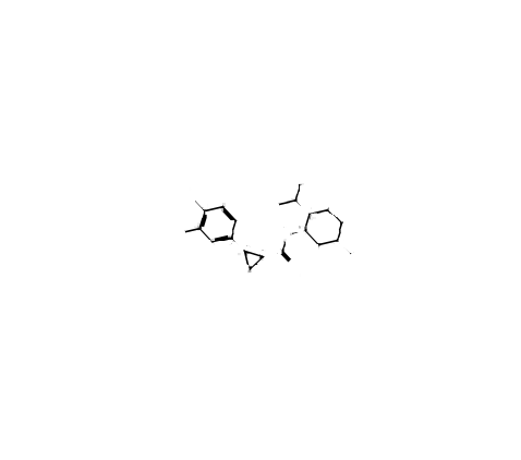 CC(C)[C@H]1CC[C@@H](C)C[C@H]1OC(=O)[C@@H]1C[C@H]1c1ccc(F)c(F)c1